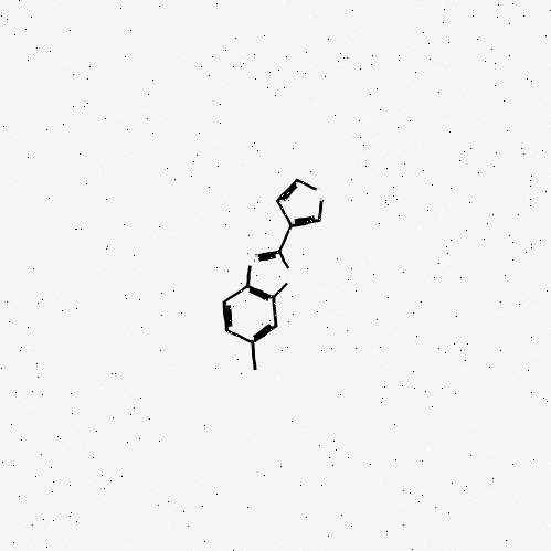 Cc1ccc2nc(-c3ccsc3)sc2c1